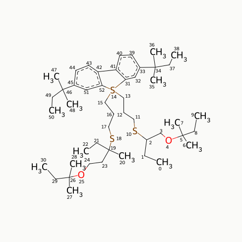 CCC(COC(C)(C)CC)SCCCS1(CCCSC(C)(CC)CCOC(C)(C)CC)c2cc(C(C)(C)CC)ccc2-c2ccc(C(C)(C)CC)cc21